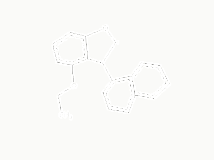 CCOc1cccc2c1C(c1cccc3ccccc13)[C]O2